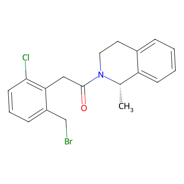 C[C@H]1c2ccccc2CCN1C(=O)Cc1c(Cl)cccc1CBr